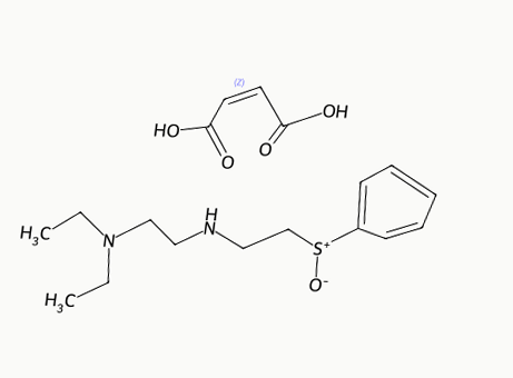 CCN(CC)CCNCC[S+]([O-])c1ccccc1.O=C(O)/C=C\C(=O)O